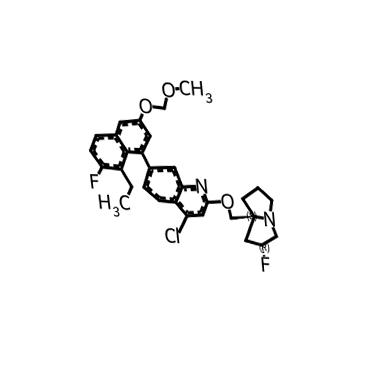 CCc1c(F)ccc2cc(OCOC)cc(-c3ccc4c(Cl)cc(OC[C@@]56CCCN5C[C@H](F)C6)nc4c3)c12